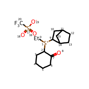 CC[S+](C1CCCCC1=O)C1CC2CCC1C2.O=S(=O)([O-])C(F)(F)F